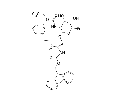 CCC1OC(OC[C@@H](NC(=O)OCC2c3ccccc3-c3ccccc32)C(=O)OCc2ccccc2)C(NC(=O)OCC(Cl)(Cl)Cl)C(O)C1O